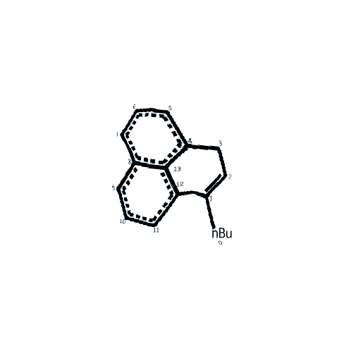 CCCCC1=CCc2cccc3cccc1c23